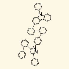 c1ccc(-c2cc(-c3ccccc3-c3ccccc3)n(-c3ccc(-c4ccccc4-c4ccccc4-c4ccc5c(c4)c4ccccc4n5-c4ccccc4)cc3)n2)cc1